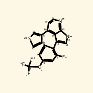 Fc1cc(OC(F)(F)F)ccc1-c1c[nH]c2nccc(-c3ccsc3)c12